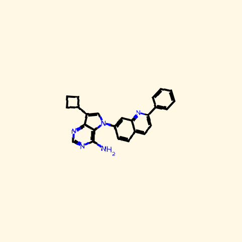 Nc1ncnc2c(C3CCC3)cn(-c3ccc4ccc(-c5ccccc5)nc4c3)c12